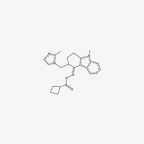 Cc1nccn1CC1CCc2c(c3ccccc3n2C)C1=NOC(=O)C1CCC1